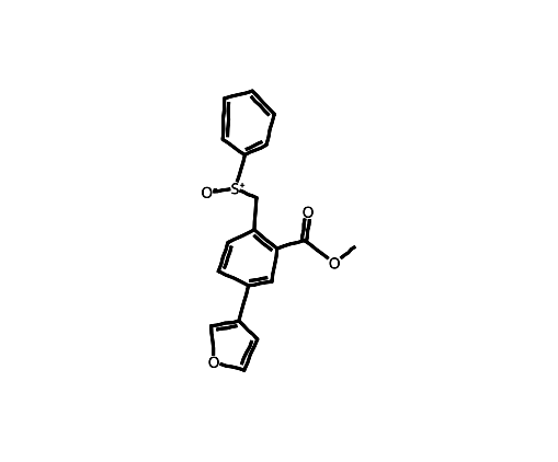 COC(=O)c1cc(-c2ccoc2)ccc1C[S+]([O-])c1ccccc1